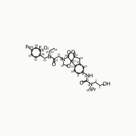 CCCN(CCO)C(=O)Nc1ccc2c(c1)CC(=O)[C@]21OCN(CC(=O)N(Cc2ccc(F)cc2)[C@@H](C)C(F)(F)F)C1=O